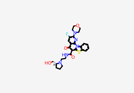 O=C(NCCN1CCC[C@@H]1CO)c1c(=O)c2cc(F)c(N3CCOCC3)nc2n2c1sc1ccccc12